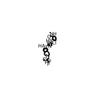 CNC(=O)c1ccccc1Nc1nc([AsH]c2ccc3c(c2)CCN(CC(OC)C(F)(F)F)CC3)ncc1Cl